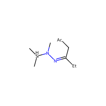 CCC(CC(C)=O)=NN(C)[SiH](C)C